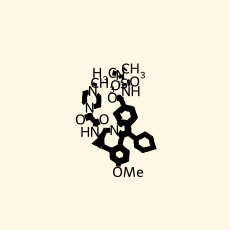 COc1ccc2c(c1)C1CC1(NC(=O)C(=O)N1CCN(C)CC1)Cn1c-2c(C2CCCCC2)c2ccc(C(=O)NS(=O)(=O)N(C)C)cc21